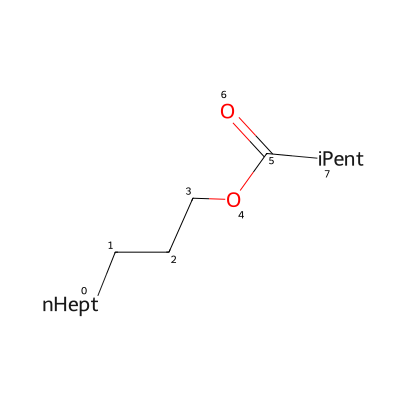 CCCCCCCCCCOC(=O)C(C)CCC